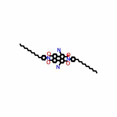 CCCCCCCCCCCCc1ccc(N2C(=O)c3ccc4c5c(C#N)cc6c7c(cc(C#N)c(c8ccc(c3c48)C2=O)c75)C(=O)N(c2ccc(CCCCCCCCCCCC)cc2)C6=O)cc1